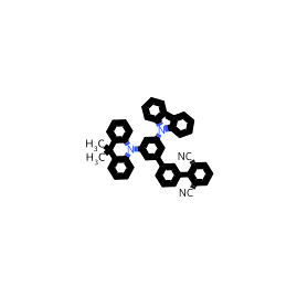 CC1(C)c2ccccc2N(c2cc(-c3cccc(-c4c(C#N)cccc4C#N)c3)cc(-n3c4ccccc4c4ccccc43)c2)c2ccccc21